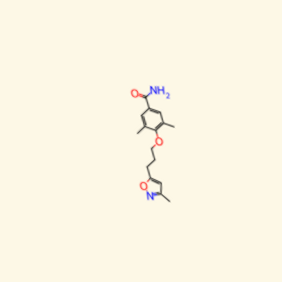 Cc1cc(CCCOc2c(C)cc(C(N)=O)cc2C)on1